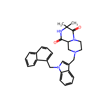 CC1(C)NC(=O)C2CN(Cc3cn(Cc4cccc5ccccc45)c4ccccc34)CCN2C1=O